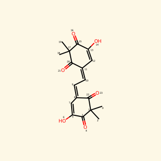 CC1(C)C(=O)C(O)=C/C(=C/C=C2/C=C(O)C(=O)C(C)(C)C2=O)C1=O